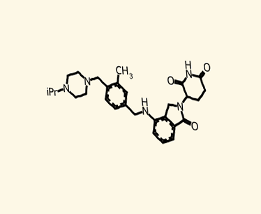 Cc1cc(CNc2cccc3c2CN(C2CCC(=O)NC2=O)C3=O)ccc1CN1CCN(C(C)C)CC1